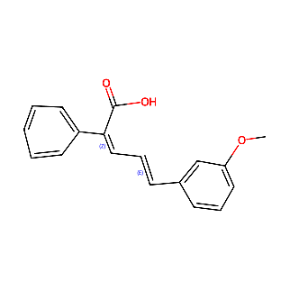 COc1cccc(/C=C/C=C(\C(=O)O)c2ccccc2)c1